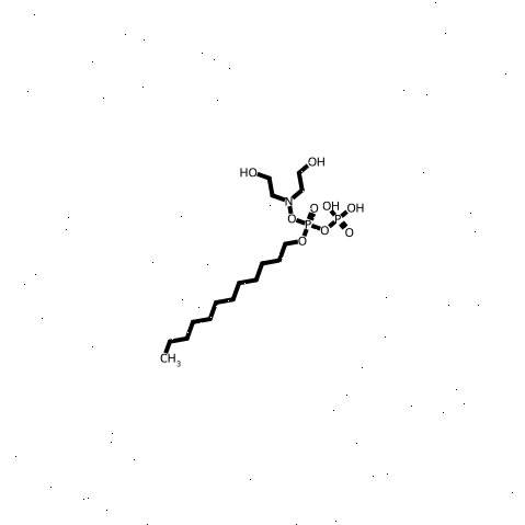 CCCCCCCCCCCCOP(=O)(ON(CCO)CCO)OP(=O)(O)O